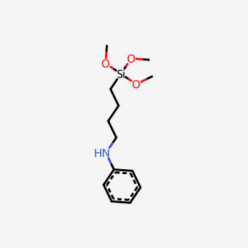 CO[Si](CCCCNc1ccccc1)(OC)OC